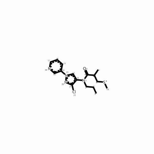 CCCN(C(=O)C(C)CSC)c1cn(-c2cccnc2)nc1Cl